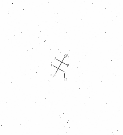 CCSC(F)(C(F)(F)F)C(F)(F)C(F)(F)F